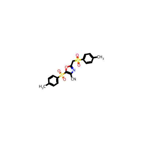 Cc1ccc(S(=O)(=O)Cc2nc(C#N)c(S(=O)(=O)c3ccc(C)cc3)o2)cc1